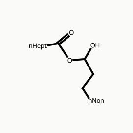 CCCCCCCCCCCC(O)OC(=O)CCCCCCC